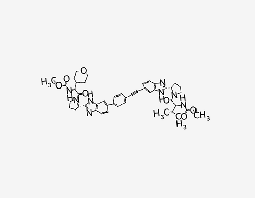 COC(=O)N[C@H](C(=O)N1CCC[C@H]1c1nc2ccc(C#Cc3ccc(-c4ccc5nc([C@@H]6CCCN6C(=O)[C@@H](NC(=O)OC)C6CCOCC6)[nH]c5c4)cc3)cc2[nH]1)C(C)C